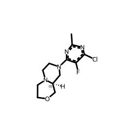 Cc1nc(Cl)c(F)c(N2CCN3CCOC[C@@H]3C2)n1